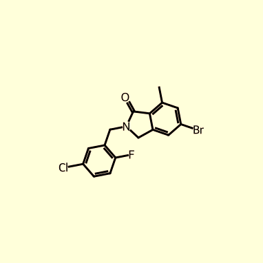 Cc1cc(Br)cc2c1C(=O)N(Cc1cc(Cl)ccc1F)C2